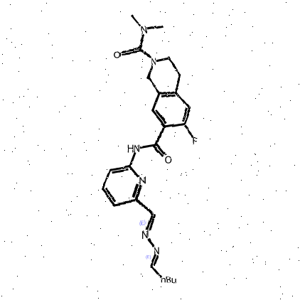 CCCC/C=N/N=C/c1cccc(NC(=O)c2cc3c(cc2F)CCN(C(=O)N(C)C)C3)n1